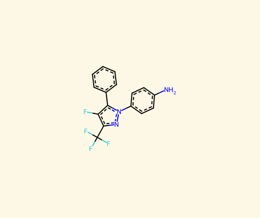 Nc1ccc(-n2nc(C(F)(F)F)c(F)c2-c2ccccc2)cc1